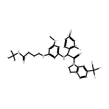 COc1cc(NC(C(=O)N2CCc3ccc(C(F)(F)F)cc32)c2ccc(Cl)cc2F)cc(OCCCC(=O)OC(C)(C)C)c1